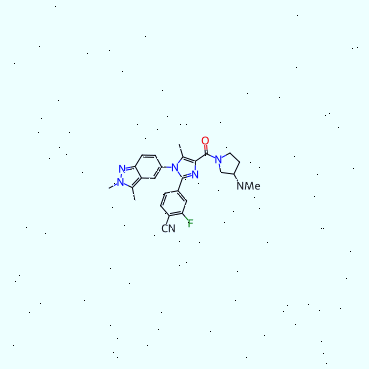 CNC1CCN(C(=O)c2nc(-c3ccc(C#N)c(F)c3)n(-c3ccc4nn(C)c(C)c4c3)c2C)C1